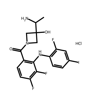 CC(N)C1(O)CN(C(=O)c2ccc(F)c(F)c2Nc2ccc(I)cc2F)C1.Cl